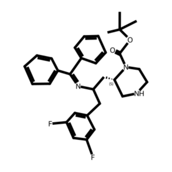 CC(C)(C)OC(=O)N1CCNC[C@@H]1CC(Cc1cc(F)cc(F)c1)N=C(c1ccccc1)c1ccccc1